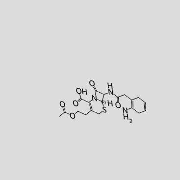 CC(=O)OCCC1=C(C(=O)O)N2C(=O)C(NC(=O)CC3=C(N)CC=CC3)[C@H]2SC1